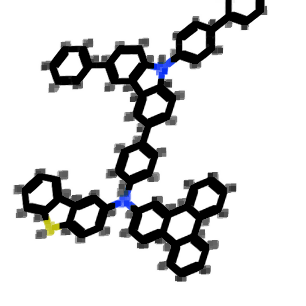 c1ccc(-c2ccc(-n3c4ccc(-c5ccccc5)cc4c4cc(-c5ccc(N(c6ccc7sc8ccccc8c7c6)c6ccc7c8ccccc8c8ccccc8c7c6)cc5)ccc43)cc2)cc1